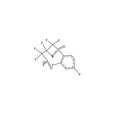 O=S(=O)(F)C(F)(F)C(F)(F)C(F)(F)S(=O)(=O)c1ccc(F)cc1F